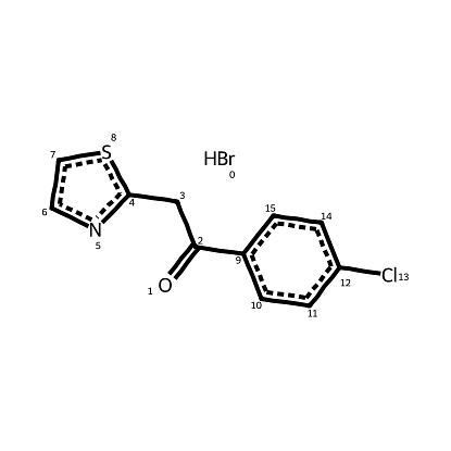 Br.O=C(Cc1nccs1)c1ccc(Cl)cc1